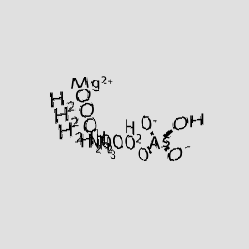 N.O.O.O.O.O.O.O=[As]([O-])([O-])O.[Mg+2]